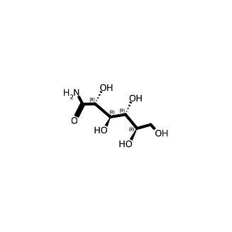 NC(=O)[C@H](O)[C@H](O)[C@H](O)[C@H](O)CO